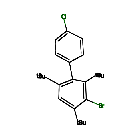 CC(C)(C)c1cc(C(C)(C)C)c(-c2ccc(Cl)cc2)c(C(C)(C)C)c1Br